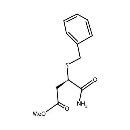 COC(=O)C[C@@H](SCc1ccccc1)C(N)=O